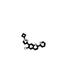 Clc1cc2ccc(-c3ccccn3)nc2cc1-c1ccn(C2CCC2)n1